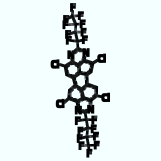 FC(F)(F)C(F)(F)C(F)(F)C(F)(F)c1nc2c(Cl)cc3c4cc(Cl)c5nc(C(F)(F)C(F)(F)C(F)(F)C(F)(F)F)nc6c(Cl)cc(c7cc(Cl)c(n1)c2c37)c4c56